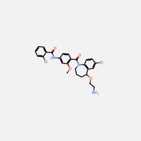 COc1cc(NC(=O)c2ccccc2Cl)ccc1C(=O)N1CCCC(OCCN)c2cc(Cl)ccc21